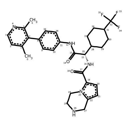 Cc1ccnc(C)c1-c1ccc(NC(=O)[C@@H](NC(=O)c2ccc3n2CCNC3)C2CCC(C(F)(F)F)CC2)cc1